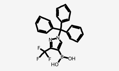 OB(O)c1cn(C(c2ccccc2)(c2ccccc2)c2ccccc2)nc1C(F)(F)F